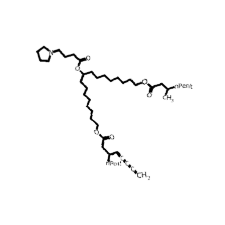 C=C=C=C=CC(CCCCC)CC(=O)OCCCCCCCCC(CCCCCCCCOC(=O)CC(C)CCCCC)OC(=O)CCCN1CCCC1